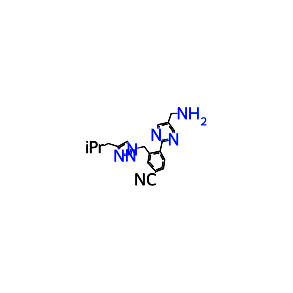 CC(C)Cc1cn(Cc2cc(C#N)ccc2-c2ncc(CN)cn2)nn1